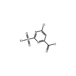 CCS(=O)(=O)c1nc(Cl)cc(C(=O)Cl)n1